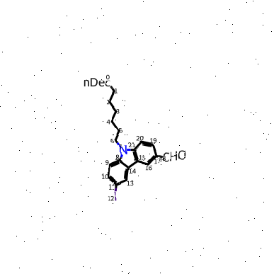 CCCCCCCCCCCCCCCCn1c2ccc(I)cc2c2cc(C=O)ccc21